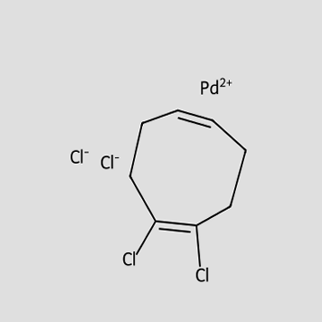 ClC1=C(Cl)CCC=CCC1.[Cl-].[Cl-].[Pd+2]